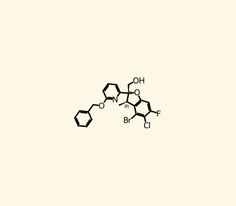 C[C@@H]1c2c(cc(F)c(Cl)c2Br)O[C@@]1(CO)c1cccc(OCc2ccccc2)n1